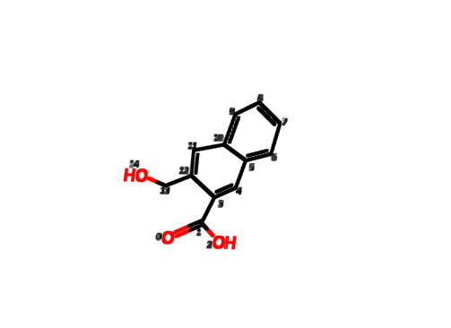 O=C(O)c1cc2ccccc2cc1CO